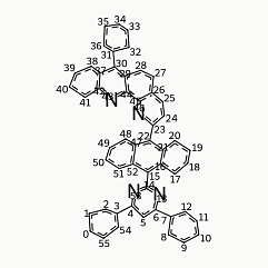 c1ccc(-c2cc(-c3ccccc3)nc(-c3c4ccccc4c(-c4ccc5ccc6c(-c7ccccc7)c7ccccc7nc6c5n4)c4ccccc34)n2)cc1